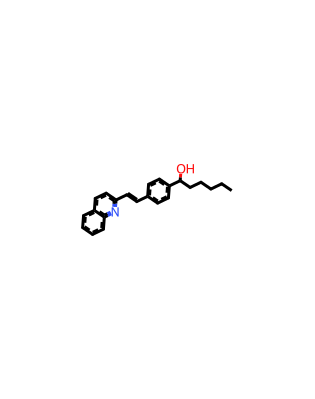 CCCCCC(O)c1ccc(C=Cc2ccc3ccccc3n2)cc1